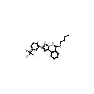 CCCCOC(=O)c1ccccc1-c1cc(-c2cccc(C(F)(F)F)c2)no1